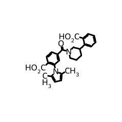 Cc1ccc(C)n1-c1cc(C(=O)N2CCCC(c3ccccc3C(=O)O)C2)ccc1C(=O)O